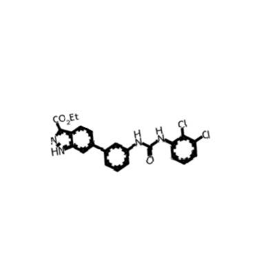 CCOC(=O)c1n[nH]c2cc(-c3cccc(NC(=O)Nc4cccc(Cl)c4Cl)c3)ccc12